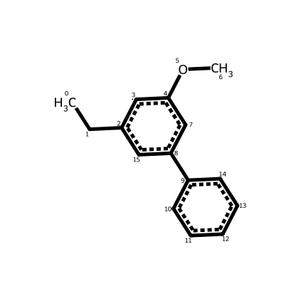 CCc1[c]c(OC)cc(-c2ccccc2)c1